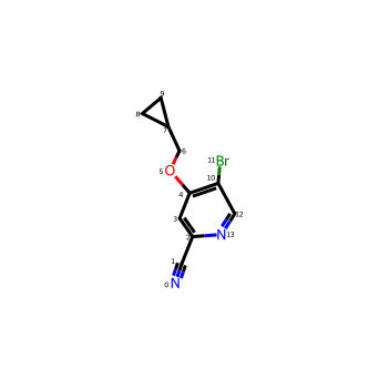 N#Cc1cc(OCC2CC2)c(Br)cn1